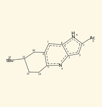 CC(=O)c1cc2nc3c(cc2[nH]1)CC(C(C)(C)C)CC3